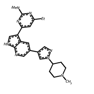 CCc1cc(-c2c[nH]c3ncc(-c4cnn(C5CCN(C)CC5)c4)cc23)nc(NC)n1